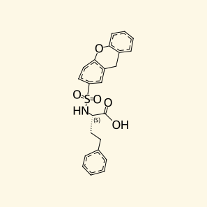 O=C(O)[C@H](CCc1ccccc1)NS(=O)(=O)c1ccc2c(c1)Cc1ccccc1O2